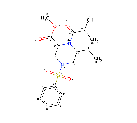 CCC1CN(S(=O)(=O)c2ccccc2)CC(C(=O)OC)N1C(=O)C(C)C